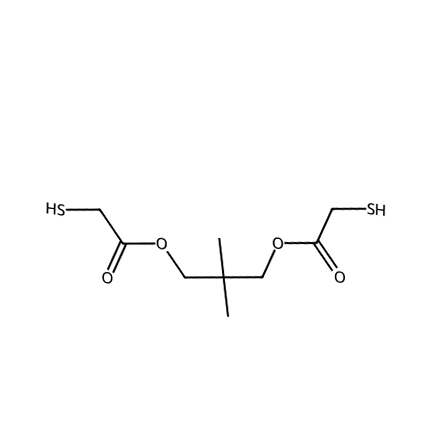 CC(C)(COC(=O)CS)COC(=O)CS